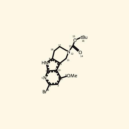 COc1cc(Br)nc2[nH]c3c(c12)CN(C(=O)OC(C)(C)C)CC3